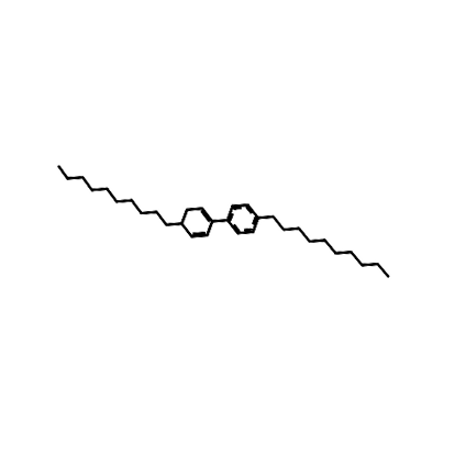 CCCCCCCCCCc1ccc(C2=CCC(CCCCCCCCCC)C=C2)cc1